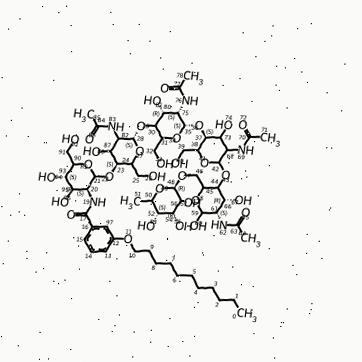 CCCCCCCCCCCOc1cccc(C(=O)N[C@@H]2C(O[C@@H]3C(CO)O[C@@H](OC4C(CO)O[C@@H](O[C@@H]5C(CO)OC(OC6C(CO[C@@H]7OC(C)[C@@H](O)[C@@H](O)C7O)OC(O)[C@@H](NC(C)=O)[C@H]6O)C(NC(C)=O)C5O)[C@@H](NC(C)=O)[C@H]4O)C(NC(C)=O)C3O)OC(CO)[C@@H](O)[C@@H]2O)c1